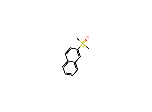 C[SH](C)(=O)c1ccc2ccccc2c1